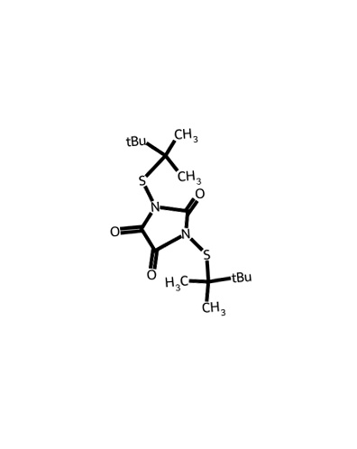 CC(C)(C)C(C)(C)SN1C(=O)C(=O)N(SC(C)(C)C(C)(C)C)C1=O